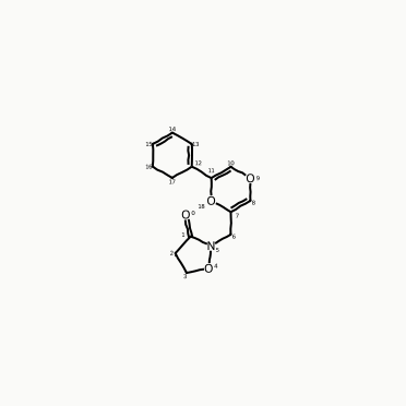 O=C1[CH]CON1CC1=COC=C(C2=CC=CCC2)O1